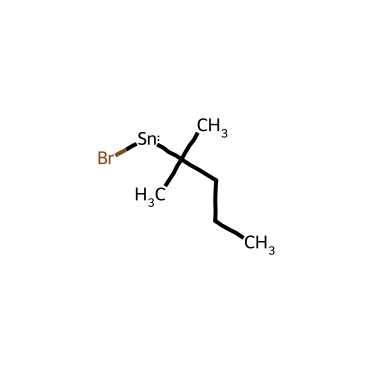 CCC[C](C)(C)[Sn][Br]